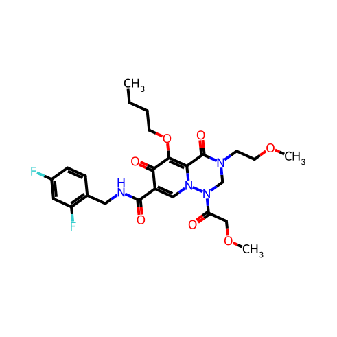 CCCCOc1c2n(cc(C(=O)NCc3ccc(F)cc3F)c1=O)N(C(=O)COC)CN(CCOC)C2=O